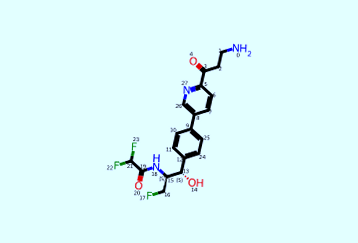 NCCC(=O)c1ccc(-c2ccc([C@H](O)[C@@H](CF)NC(=O)C(F)F)cc2)cn1